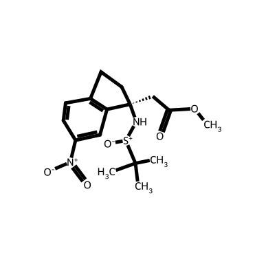 COC(=O)C[C@@]1(N[S+]([O-])C(C)(C)C)CCc2ccc([N+](=O)[O-])cc21